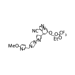 CC[C@H](COc1cc(-c2ccc(N3CCN(Cc4ccc(OC)nc4)CC3)nc2)c2c(C#N)cnn2c1)OC(=O)C(F)(F)F